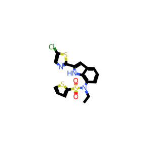 CCN(c1cccc2cc(-c3ncc(Cl)s3)[nH]c12)S(=O)(=O)c1cccs1